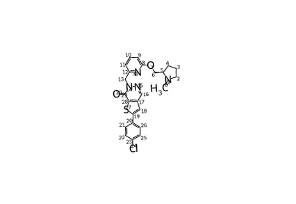 CN1CCC[C@@H]1COc1cccc(Cn2ncc3cc(-c4ccc(Cl)cc4)sc3c2=O)n1